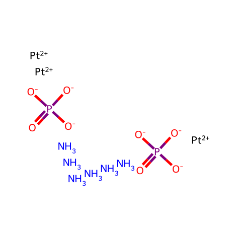 N.N.N.N.N.N.O=P([O-])([O-])[O-].O=P([O-])([O-])[O-].[Pt+2].[Pt+2].[Pt+2]